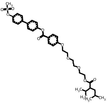 CC(C)CC(C(=O)OCCOCCOCCOc1ccc(C(=O)Oc2ccc(-c3ccc(OS(C)(=O)=O)cc3)cc2)cc1)C(C)C